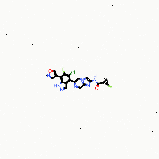 O=C(Nc1cn2cc(-c3c(Cl)c(F)c(-c4cnoc4)c4[nH]ncc34)ncc2n1)C1CC1F